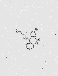 COCCCNC1c2ccccc2N(C)[S+]([O-])c2cc(Br)ccc21